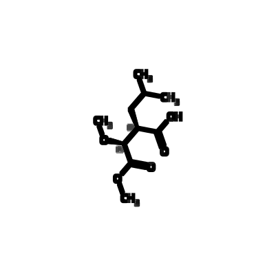 COC(=O)[C@@H](OC)[C@@H](CC(C)C)C(=O)O